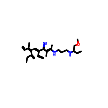 C=C/C(C)=C(/C=C(\C=C)C(=N)/C(C)=C(\C)NCCCNC(CC)COC)C(=C)CC